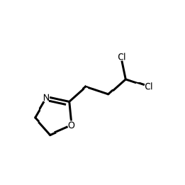 ClC(Cl)CCC1=NCCO1